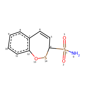 NS(=O)(=O)C1C=Cc2ccccc2OS1